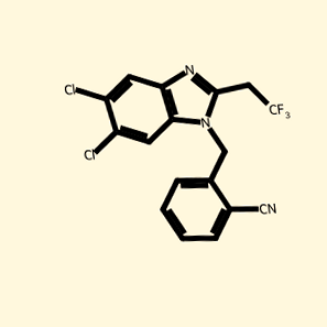 N#Cc1ccccc1Cn1c(CC(F)(F)F)nc2cc(Cl)c(Cl)cc21